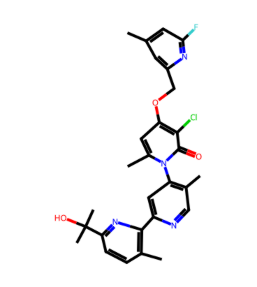 Cc1cc(F)nc(COc2cc(C)n(-c3cc(-c4nc(C(C)(C)O)ccc4C)ncc3C)c(=O)c2Cl)c1